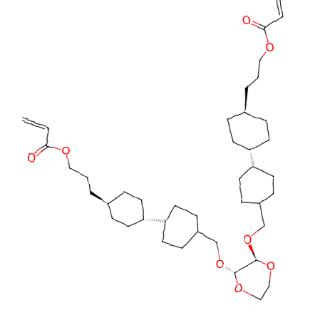 C=CC(=O)OCCC[C@H]1CC[C@H](C2CCC(CO[C@H]3OCCO[C@@H]3OCC3CCC([C@H]4CC[C@H](CCCOC(=O)C=C)CC4)CC3)CC2)CC1